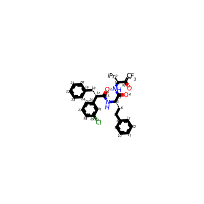 CC(C)[C@H](NC(=O)[C@H](CCc1ccccc1)NC(=O)[C@@H](Cc1ccccc1)c1cccc(Cl)c1)C(=O)C(F)(F)F